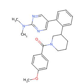 COc1ccc(C(=O)N2CCCC(c3ccccc3-c3cnc(N(C)C)nc3)C2)cc1